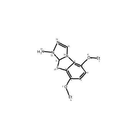 CCOc1ccc(OCC)c2c1SC1N(N)N=CN21